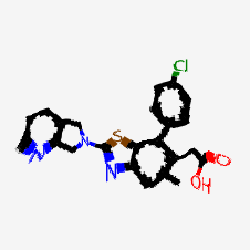 Cc1cc2nc(N3Cc4cccnc4C3)sc2c(-c2ccc(Cl)cc2)c1CC(=O)O